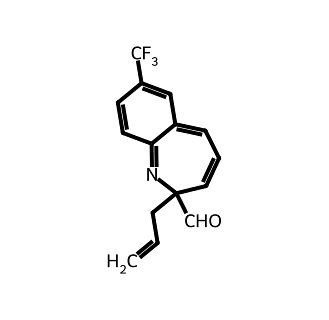 C=CCC1(C=O)C=CC=c2cc(C(F)(F)F)ccc2=N1